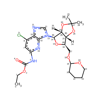 CCOC(=O)Nc1cc(Cl)c2ncn([C@@H]3O[C@H](COC4CCCCO4)[C@H]4OC(C)(C)O[C@H]43)c2n1